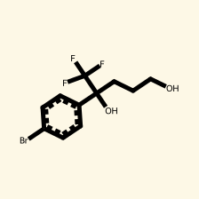 OCCCC(O)(c1ccc(Br)cc1)C(F)(F)F